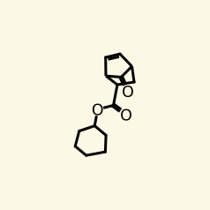 O=C1C2C=CC1C(C(=O)OC1CCCCC1)C2